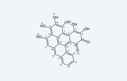 O=c1c(O)c(O)c2c3c(O)c(O)c(O)c4c(O)cc5cc6ccccc6c(c2c1=O)c5c43